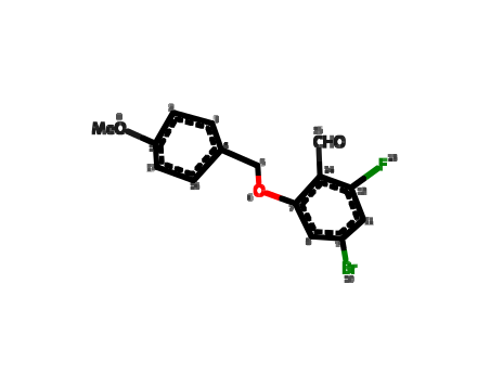 COc1ccc(COc2cc(Br)cc(F)c2C=O)cc1